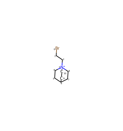 BrCC[N+]12CCC(CC1)CC2